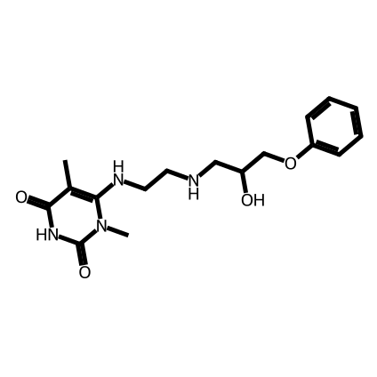 Cc1c(NCCNCC(O)COc2ccccc2)n(C)c(=O)[nH]c1=O